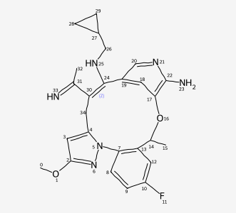 COc1cc2n(n1)-c1ccc(F)cc1C(C)Oc1cc(cnc1N)/C(NCC1CC1)=C(/C(C)=N)C2